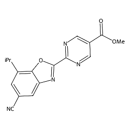 COC(=O)c1cnc(-c2nc3cc(C#N)cc(C(C)C)c3o2)nc1